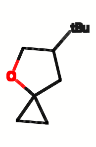 CC(C)(C)C1COC2(CC2)C1